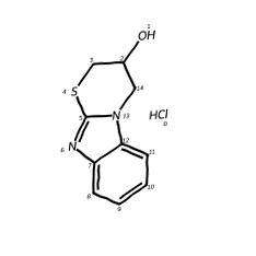 Cl.OC1CSc2nc3ccccc3n2C1